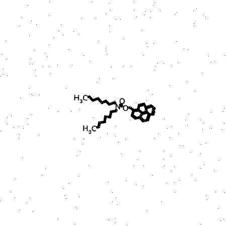 CCCCCCCCN(CCCCCCCC)C(=O)OCc1ccc2ccc3cccc4ccc1c2c34